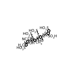 Cc1cc(N=Nc2c(C)c(C#N)c3nc4c(C)c(S(=O)(=O)O)ccc4n3c2O)c(OCCCS(=O)(=O)O)cc1N=Nc1cc(CO)c(N=Nc2nc3c(S(=O)(=O)O)cc4ccc(S(=O)(=O)O)cc4c3s2)cc1SCCCS(=O)(=O)O